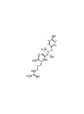 N=C(N)NCCC[C@H](NC(=O)[C@@H](O)[C@H](N)Cc1ccc(O)cc1)C(=O)O